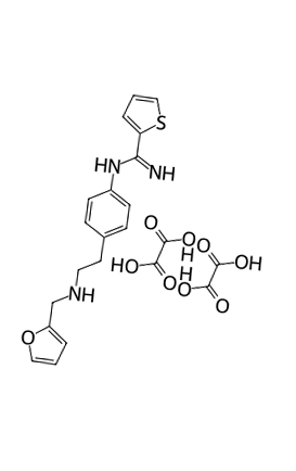 N=C(Nc1ccc(CCNCc2ccco2)cc1)c1cccs1.O=C(O)C(=O)O.O=C(O)C(=O)O